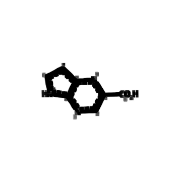 O=C(O)c1cnc2[nH]ccc2n1